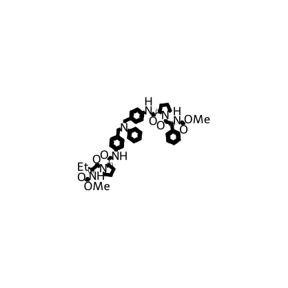 CC[C@H](NC(=O)OC)C(=O)N1CCC[C@H]1C(=O)Nc1ccc(CN(Cc2ccc(NC(=O)[C@@H]3CCCN3C(=O)[C@H](NC(=O)OC)c3ccccc3)cc2)c2ccccc2)cc1